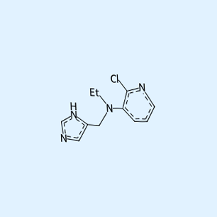 CCN(Cc1cnc[nH]1)c1cccnc1Cl